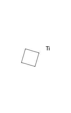 C1CCC1.[Ti]